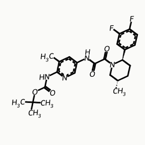 Cc1cc(NC(=O)C(=O)N2C[C@@H](C)CC[C@@H]2c2ccc(F)c(F)c2)cnc1NC(=O)OC(C)(C)C